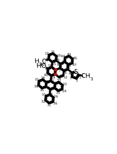 Cc1ccc(-c2c3c(c(-c4cccc(C)c4-c4ccc(-c5c6ccccc6c(-c6ccccc6)c6ccccc56)cc4O)c4ccccc24)CCC=C3)s1